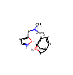 CN(C)Cc1ccno1.c1cc2cc(c1)OC2